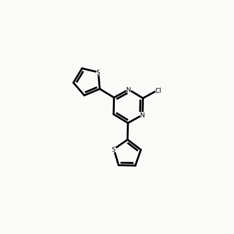 Clc1nc(-c2cccs2)cc(-c2cccs2)n1